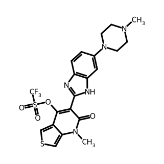 CN1CCN(c2ccc3nc(-c4c(OS(=O)(=O)C(F)(F)F)c5cscc5n(C)c4=O)[nH]c3c2)CC1